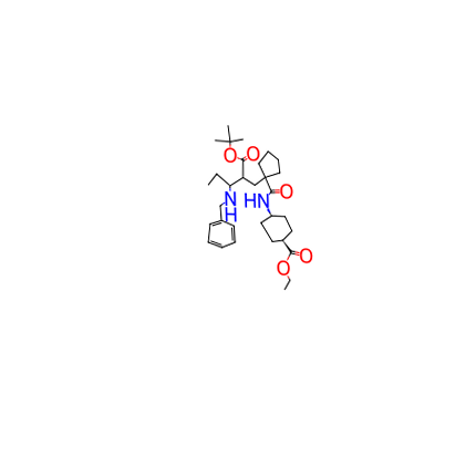 CCOC(=O)[C@H]1CC[C@@H](NC(=O)C2(CC(C(=O)OC(C)(C)C)C(CC)NCc3ccccc3)CCCC2)CC1